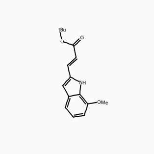 COc1cccc2cc(C=CC(=O)OC(C)(C)C)[nH]c12